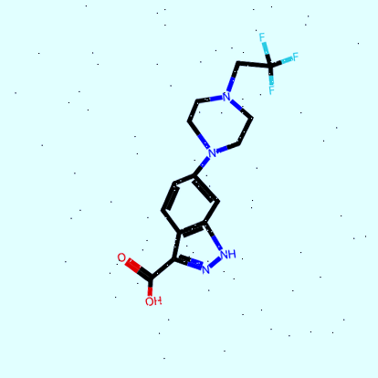 O=C(O)c1n[nH]c2cc(N3CCN(CC(F)(F)F)CC3)ccc12